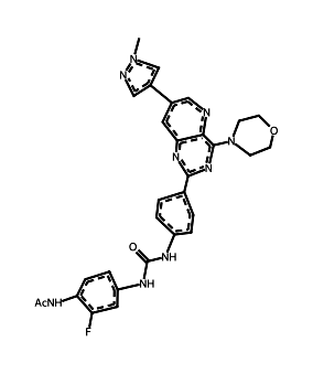 CC(=O)Nc1ccc(NC(=O)Nc2ccc(-c3nc(N4CCOCC4)c4ncc(-c5cnn(C)c5)cc4n3)cc2)cc1F